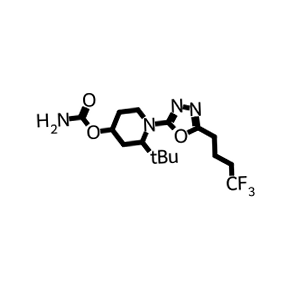 CC(C)(C)C1CC(OC(N)=O)CCN1c1nnc(CCCC(F)(F)F)o1